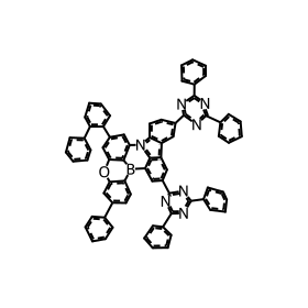 c1ccc(-c2ccc3c(c2)Oc2cc(-c4ccccc4-c4ccccc4)cc4c2B3c2cc(-c3nc(-c5ccccc5)nc(-c5ccccc5)n3)cc3c5cc(-c6nc(-c7ccccc7)nc(-c7ccccc7)n6)ccc5n-4c23)cc1